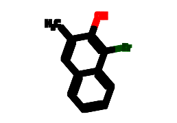 Cc1cc2ccccc2c(Br)c1O